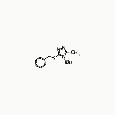 CCC(C)n1c(C)nnc1SCc1ccccc1